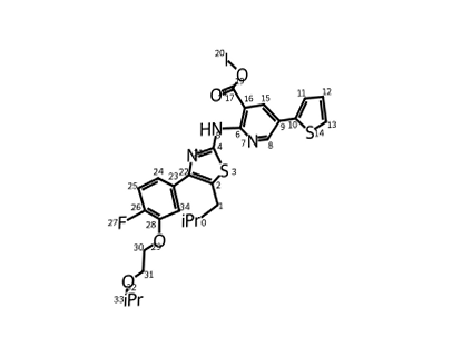 CC(C)Cc1sc(Nc2ncc(-c3cccs3)cc2C(=O)OI)nc1-c1ccc(F)c(OCCOC(C)C)c1